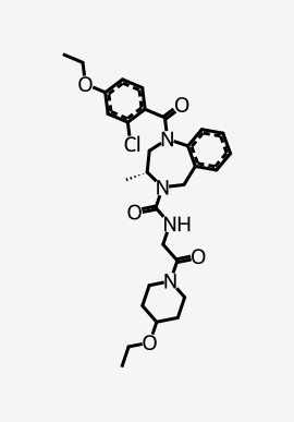 CCOc1ccc(C(=O)N2C[C@@H](C)N(C(=O)NCC(=O)N3CCC(OCC)CC3)Cc3ccccc32)c(Cl)c1